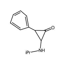 CC(C)NC1C(=O)C1c1ccccc1